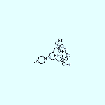 CCO[Si](CCCN(CCC[Si](OCC)(OCC)OCC)N1CCN(C)CC1)(OCC)OCC